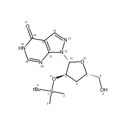 CC(C)(C)[Si](C)(C)O[C@@H]1C[C@@H](CO)O[C@H]1n1ncc2c(=O)[nH]cnc21